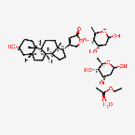 CCOC(C)=O.C[C@H]1OC(O)C[C@H](O)[C@@H]1O.C[C@H]1OC(O)C[C@H](O)[C@@H]1O.C[C@]12CC[C@H](O)C[C@H]1CC[C@@H]1[C@@H]2CC[C@]2(C)[C@@H](C3=CC(=O)OC3)CC[C@@H]12.O